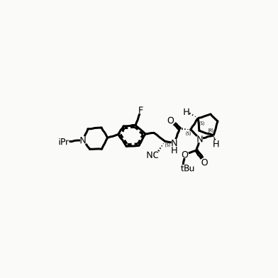 CC(C)N1CCC(c2ccc(C[C@@H](C#N)NC(=O)[C@@H]3[C@H]4CC[C@H](C4)N3C(=O)OC(C)(C)C)c(F)c2)CC1